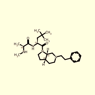 CN[C@@H](C)C(=O)N[C@@H](CC(C)(C)C)C(=O)N1CC[C@H]2CCN(CCc3ccccc3)C[C@H]21